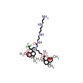 C[C@@H]1CC[C@H]2[C@@H](C)[C@@](C)(OCCCCN(CC(=O)NCCCNCCCCNCCCN)CC3=C(C(F)(F)F)O[C@@H]4O[C@@]5(C)CC[C@H]6[C@H](C)CC[C@@H]3[C@@]46O5)O[C@@H]3O[C@]4(C)CC[C@@H]1[C@]32OO4